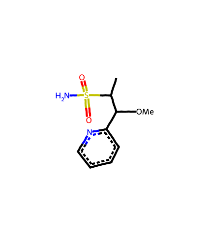 COC(c1ccccn1)C(C)S(N)(=O)=O